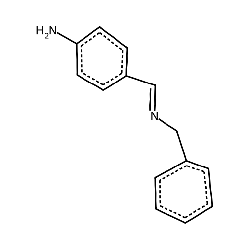 Nc1ccc(/C=N/Cc2ccccc2)cc1